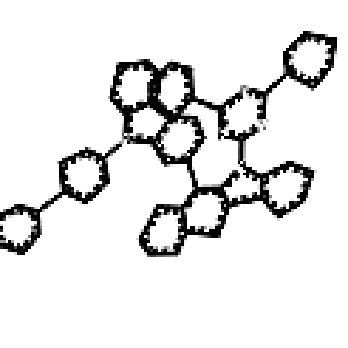 c1ccc(-c2ccc(-n3c4ccccc4c4ccc(-c5c6ccccc6cc6c7ccccc7n(-c7nc(-c8ccccc8)nc(-c8ccccc8)n7)c56)cc43)cc2)cc1